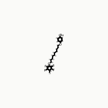 CCC(C)c1ccc(OCCCCCCCCCCOc2c(F)c(F)c(C)c(F)c2F)cc1